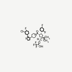 CN(C)[C@@]1(C)C[C@@H](C(=O)N2CCC(c3ccnn3-c3ccc(F)c(Cl)c3)CC2)[C@H](c2ccc(F)cc2F)C1.O=C(O)C(F)(F)F